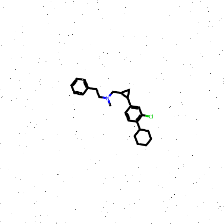 CN(CCc1ccccc1)CC1CC1c1ccc(C2CCCCC2)c(Cl)c1